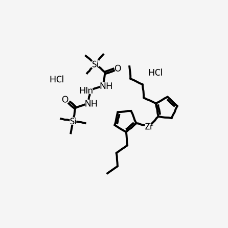 CCCCC1=[C]([Zr][C]2=C(CCCC)C=CC2)CC=C1.C[Si](C)(C)C(=O)[NH][InH][NH]C(=O)[Si](C)(C)C.Cl.Cl